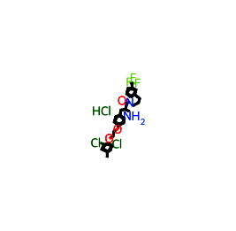 Cc1cc(Cl)c(OCCOc2ccc(CC(CN)C(=O)N3CCCc4cc(C(F)(F)F)ccc43)cc2)c(Cl)c1.Cl